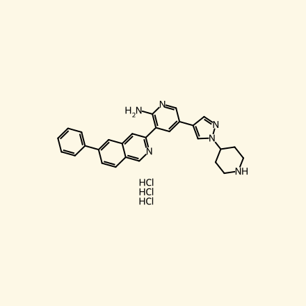 Cl.Cl.Cl.Nc1ncc(-c2cnn(C3CCNCC3)c2)cc1-c1cc2cc(-c3ccccc3)ccc2cn1